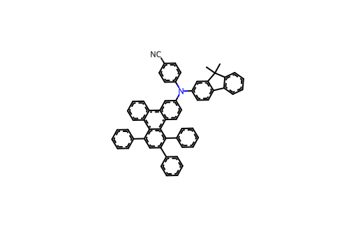 CC1(C)c2ccccc2-c2ccc(N(c3ccc(C#N)cc3)c3ccc4c(c3)c3ccccc3c3c(-c5ccccc5)cc(-c5ccccc5)c(-c5ccccc5)c43)cc21